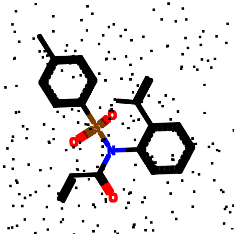 C=CC(=O)N(c1ccccc1C(=C)C)S(=O)(=O)c1ccc(C)cc1